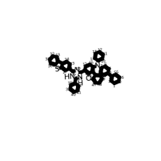 c1ccc(-c2ccc(N(c3ccccc3)c3ccc(C4=NC(c5ccc6c(c5)sc5ccccc56)NC(c5ccccc5)N4)c4oc5ccccc5c34)cc2)cc1